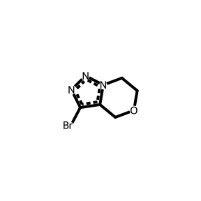 Brc1nnn2c1COCC2